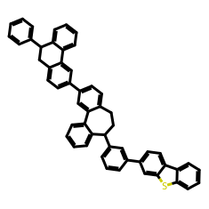 c1ccc(C2Cc3ccc(-c4ccc5c(c4)-c4ccccc4C(c4cccc(-c6ccc7c(c6)sc6ccccc67)c4)CC5)cc3-c3ccccc32)cc1